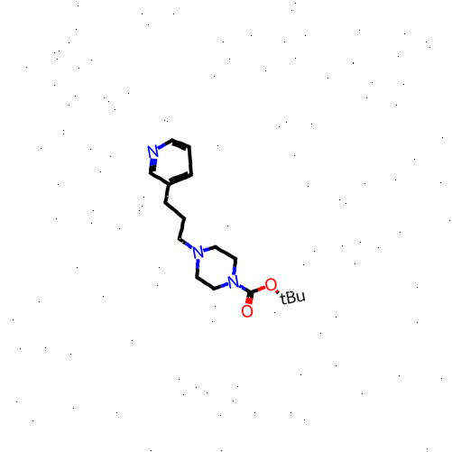 CC(C)(C)OC(=O)N1CCN(CCCc2cccnc2)CC1